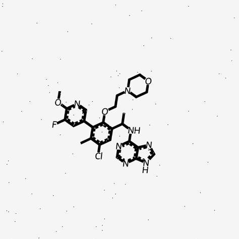 COc1ncc(-c2c(C)c(Cl)cc(C(C)Nc3ncnc4[nH]cnc34)c2OCCN2CCOCC2)cc1F